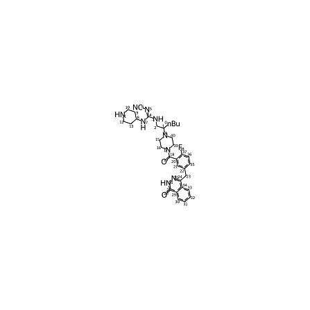 CCCCC(CNC(=NC#N)NC1CCNCC1)N1CCN(C(=O)c2cc(Cc3n[nH]c(=O)c4ccccc34)ccc2F)CC1